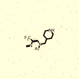 C=N/C(=C\N(CC1CCNCC1)C(C)=O)C(F)(F)F